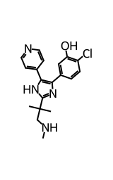 CNCC(C)(C)c1nc(-c2ccc(Cl)c(O)c2)c(-c2ccncc2)[nH]1